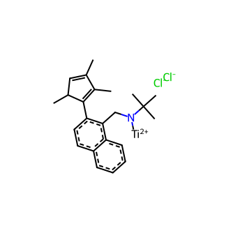 CC1=CC(C)C(c2ccc3ccccc3c2C[N]([Ti+2])C(C)(C)C)=C1C.[Cl-].[Cl-]